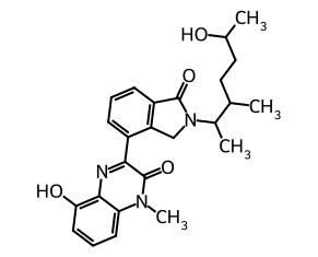 CC(O)CCC(C)C(C)N1Cc2c(cccc2-c2nc3c(O)cccc3n(C)c2=O)C1=O